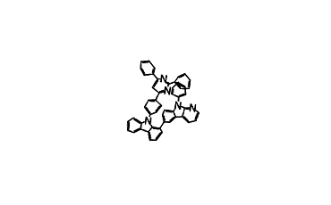 c1ccc(-c2cc(-c3ccc(-n4c5ccccc5c5cccc(-c6ccc7c(c6)c6cccnc6n7-c6ccccc6)c54)cc3)nc(-c3ccccc3)n2)cc1